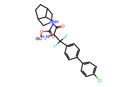 CC(C)(C)OC(=O)NC1C2CCC1CN(C(=O)C(N)C(F)(F)c1ccc(-c3ccc(Cl)cc3)cc1)C2